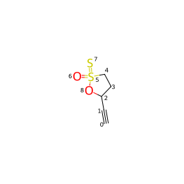 C#CC1CCS(=O)(=S)O1